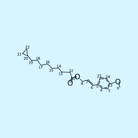 COc1ccc(C=CCOC(=O)CCCCCCCCC2CC2)cc1